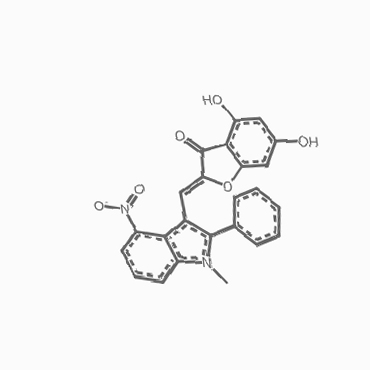 Cn1c(-c2ccccc2)c(C=C2Oc3cc(O)cc(O)c3C2=O)c2c([N+](=O)[O-])cccc21